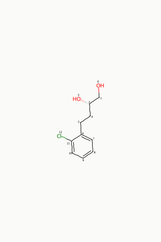 OC[C@@H](O)CCc1ccccc1Cl